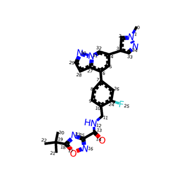 Cn1cc(-c2cc(-c3ccc(CNC(=O)c4noc(C(C)(C)C)n4)c(F)c3)c3ccnn3c2)cn1